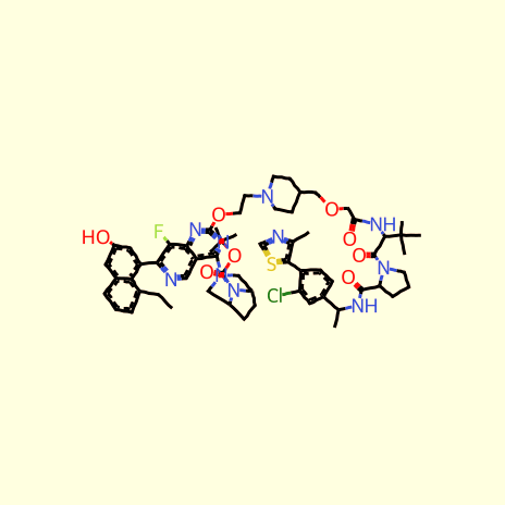 CCc1cccc2cc(O)cc(-c3ncc4c(N5CC6CCC(C5)N6C(=O)OC(C)(C)C)nc(OCCN5CCC(COCC(=O)NC(C(=O)N6CCCC6C(=O)NC(C)c6ccc(-c7scnc7C)c(Cl)c6)C(C)(C)C)CC5)nc4c3F)c12